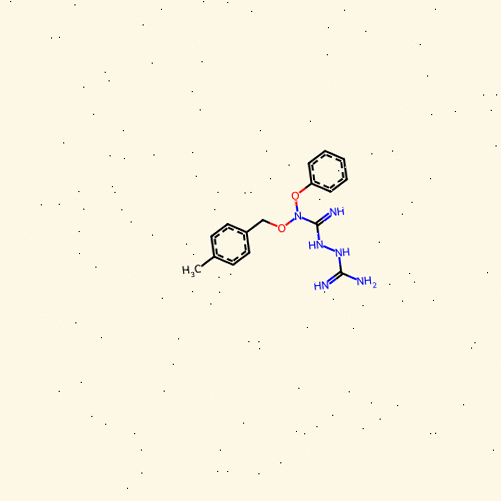 Cc1ccc(CON(Oc2ccccc2)C(=N)NNC(=N)N)cc1